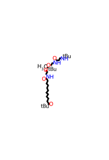 CC(C)(C)NCCC(=O)NCCOC(C)(OCCNC(=O)CCCCCCCCCCC(=O)C(C)(C)C)C(C)(C)C